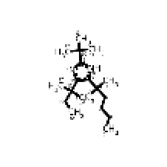 CCCCC(C)(C)c1[nH]c(C(C)(C)C)nc1C(C)(C)CC